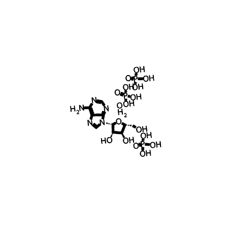 Nc1ncnc2c1ncn2[C@@H]1O[C@H](CO)[C@@H](O)[C@@H]1O.O.O=P(O)(O)O.O=P(O)(O)O.O=P(O)(O)O